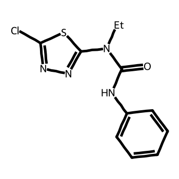 CCN(C(=O)Nc1ccccc1)c1nnc(Cl)s1